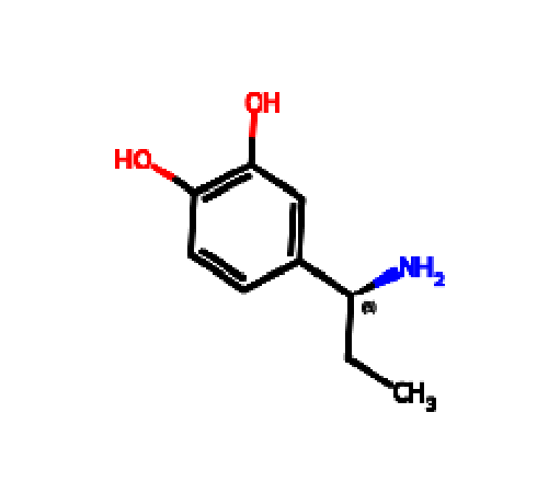 CC[C@H](N)c1ccc(O)c(O)c1